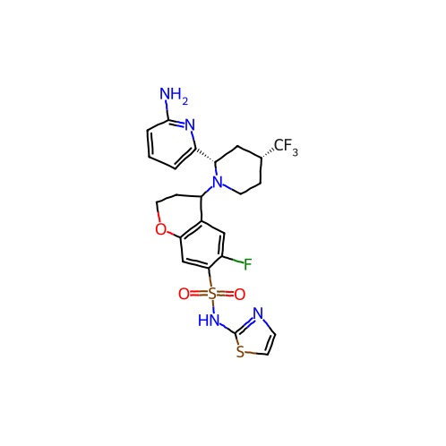 Nc1cccc([C@@H]2C[C@H](C(F)(F)F)CCN2C2CCOc3cc(S(=O)(=O)Nc4nccs4)c(F)cc32)n1